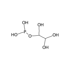 OC(O)C(O)OP(O)O